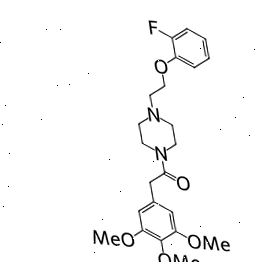 COc1cc(CC(=O)N2CCN(CCOc3ccccc3F)CC2)cc(OC)c1OC